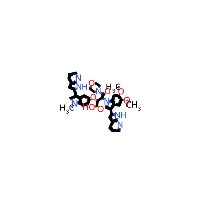 COc1cc2c(-c3cc4cccnc4[nH]3)cn(C(C(=O)N3CCOCC3)C(Oc3ccc4c(c3)c(-c3cc5cccnc5[nH]3)cn4C)C(=O)O)c2cc1OC